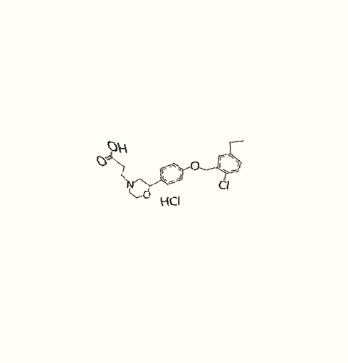 CCc1ccc(Cl)c(COc2ccc(C3CN(CCC(=O)O)CCO3)cc2)c1.Cl